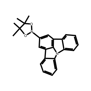 CC1(C)ON(c2cc3c4ccccc4n4c5ccccc5c(c2)c34)OC1(C)C